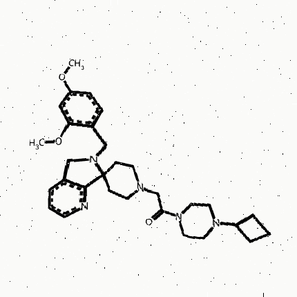 COc1ccc(CN2Cc3cccnc3C23CCN(CC(=O)N2CCN(C4CCC4)CC2)CC3)c(OC)c1